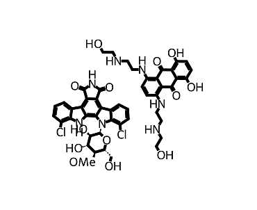 CO[C@H]1[C@H](O)[C@@H](O)[C@H](n2c3c(Cl)cccc3c3c4c(c5c6cccc(Cl)c6[nH]c5c32)C(=O)NC4=O)O[C@@H]1CO.O=C1c2c(O)ccc(O)c2C(=O)c2c(NCCNCCO)ccc(NCCNCCO)c21